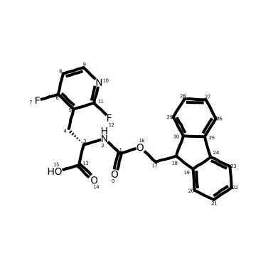 O=C(N[C@@H](Cc1c(F)ccnc1F)C(=O)O)OCC1c2ccccc2-c2ccccc21